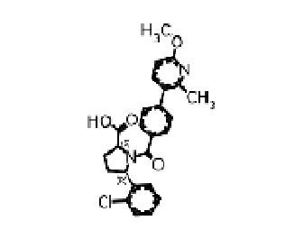 COc1ccc(-c2ccc(C(=O)N3[C@@H](c4ccccc4Cl)CC[C@H]3C(=O)O)cc2)c(C)n1